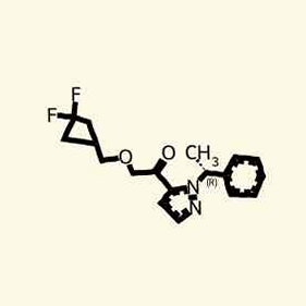 C[C@H](c1ccccc1)n1nccc1C(=O)COCC1CC(F)(F)C1